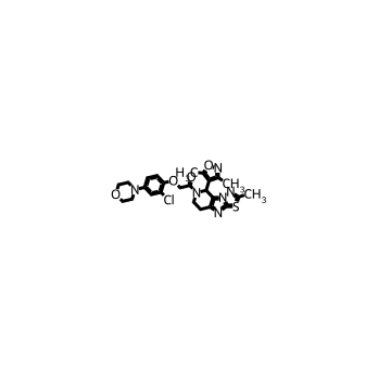 Cc1nn2c3c(nc2s1)CCN(C(=O)COc1ccc(N2CCOCC2)cc1Cl)C3c1c(C)noc1C